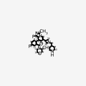 Cc1nc(F)c2c(-c3ccc(F)cc3C(=O)N3CCOC[C@H]3C)cc(C3CN(CC4CCNCC4)C3)cn12